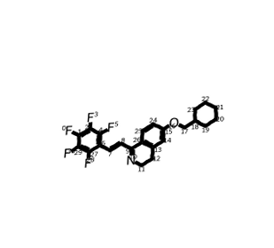 Fc1c(F)c(F)c(C=CC2=NCCc3cc(OCC4CCCCC4)ccc32)c(F)c1F